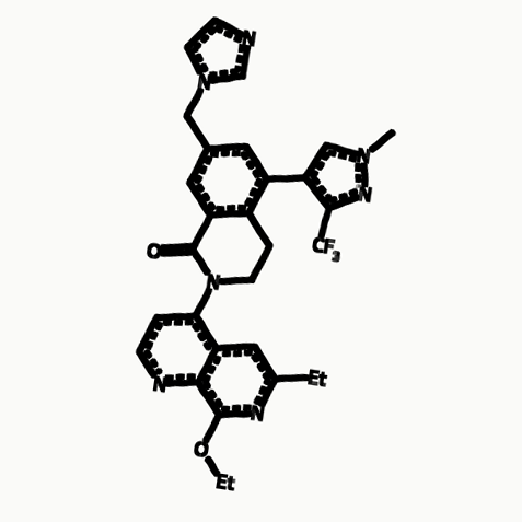 CCOc1nc(CC)cc2c(N3CCc4c(cc(Cn5ccnc5)cc4-c4cn(C)nc4C(F)(F)F)C3=O)ccnc12